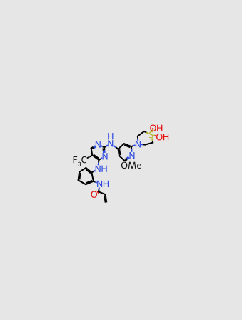 C=CC(=O)Nc1ccccc1Nc1nc(Nc2cc(OC)nc(N3CCS(O)(O)CC3)c2)ncc1C(F)(F)F